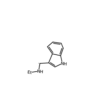 CCN[CH]c1c[nH]c2ccccc12